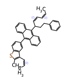 C/C=C\C=C/C(CCc1ccccc1)c1c2ccccc2c(-c2ccc3sc(C)c(/C=C\C)c3c2)c2ccccc12